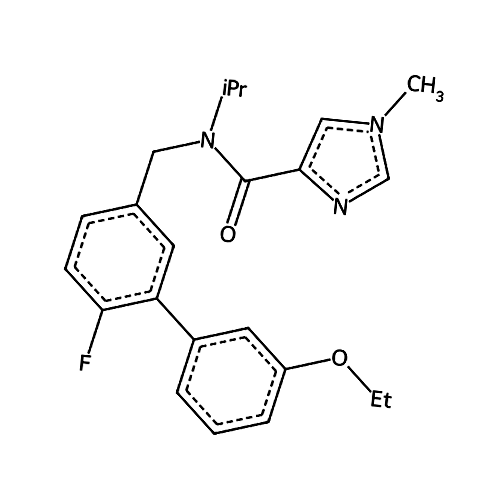 CCOc1cccc(-c2cc(CN(C(=O)c3cn(C)cn3)C(C)C)ccc2F)c1